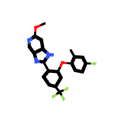 COc1cc2[nH]c(-c3ccc(C(F)(F)F)cc3Oc3ccc(F)cc3C)nc2cn1